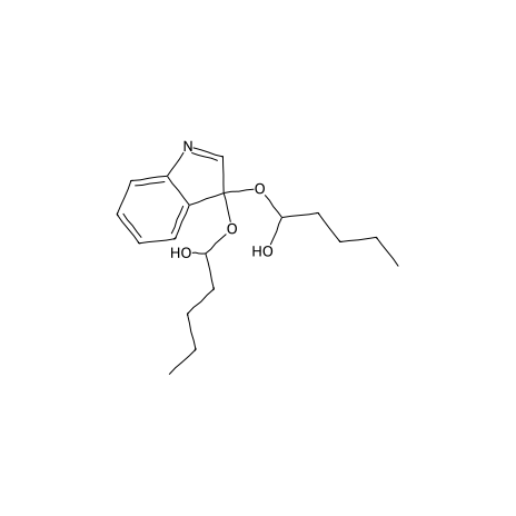 CCCCC(O)OC1(OC(O)CCCC)C=Nc2ccccc21